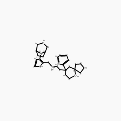 c1ccc(C2(CCNCc3sccc3N3C4CCC3COC4)CCOC3(CCCC3)C2)nc1